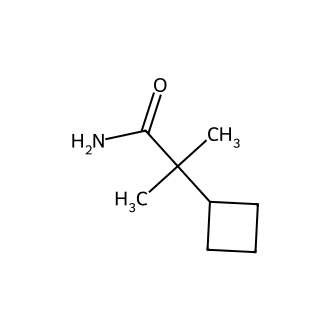 CC(C)(C(N)=O)C1CCC1